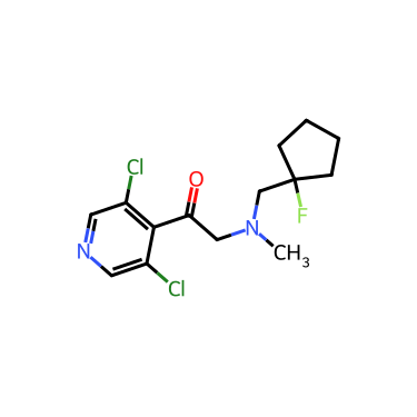 CN(CC(=O)c1c(Cl)cncc1Cl)CC1(F)CCCC1